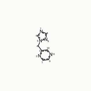 c1cnc(Cn2cncn2)cn1